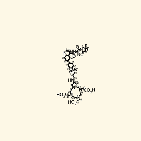 N#C[C@@H]1CC(F)(F)CN1C(=O)CNC(=O)c1ccnc2ccc(-c3ccc(S(=O)(=O)CCCNC(=O)CN4CCN(CC(=O)O)CCN(CC(=O)O)CCN(CC(=O)O)CC4)cc3)cc12